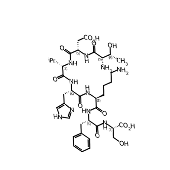 CC(C)[C@H](NC(=O)[C@H](CC(=O)O)NC(=O)[C@@H](N)[C@@H](C)O)C(=O)N[C@@H](Cc1c[nH]cn1)C(=O)N[C@@H](CCCCN)C(=O)N[C@@H](Cc1ccccc1)C(=O)N[C@@H](CO)C(=O)O